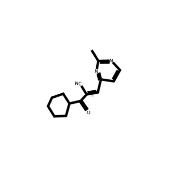 Cc1nccc(/C=C(\C#N)C(=O)C2CCCCC2)n1